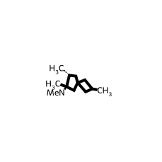 CN[C@]1(C)CC2(CC(C)C2)C[C@H]1C